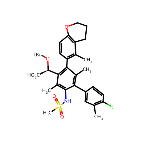 Cc1cc(-c2c(C)c(-c3ccc4c(c3C)CCCO4)c([C@H](OC(C)(C)C)C(=O)O)c(C)c2NS(C)(=O)=O)ccc1Cl